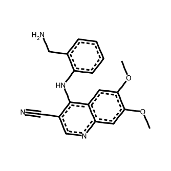 COc1cc2ncc(C#N)c(Nc3ccccc3CN)c2cc1OC